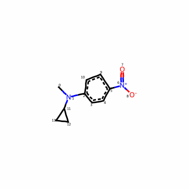 CN(c1ccc([N+](=O)[O-])cc1)C1CC1